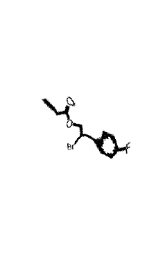 CCC(=O)OCC(Br)c1ccc(F)cc1